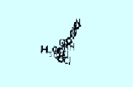 CN(CCC(=O)Nc1ccc(N2CCN(c3ccncc3)CC2)cc1)S(=O)(=O)C1=CCCC(Cl)=C1Cl